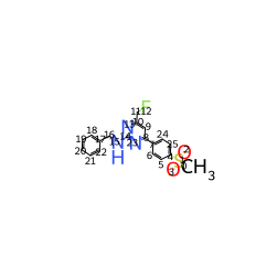 CS(=O)(=O)c1ccc(-c2cc(CF)nc(NCc3ccccc3)n2)cc1